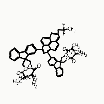 C=C(C)C(=O)OCC1(COC(=O)C(=C)C)c2ccccc2-c2ccc(-c3cc(-c4ccc5c(c4)C(COC(=O)C(=C)C)(COC(=O)C(=C)C)c4ccccc4-5)c4ccc5cc(CC(F)(F)C(F)(F)F)cc6ccc3c4c65)cc21